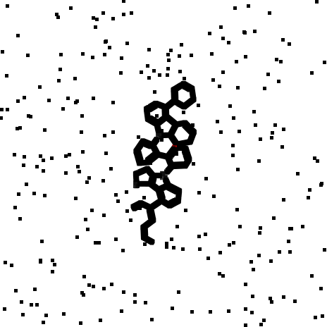 C=C/C(=C\C=C/C)c1cccc2c1c1c(n2-c2ccccc2-c2ccccc2N2c3cccc(C4=CC=CCC4)c3C3C=CCCC32)CCS1